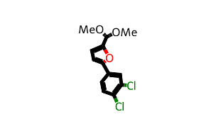 COC(OC)c1ccc(-c2ccc(Cl)c(Cl)c2)o1